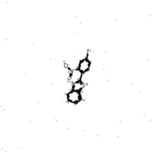 O=[N+]([O-])c1cc(F)ccc1-c1nc2ccccc2s1